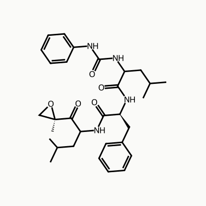 CC(C)CC(NC(=O)Nc1ccccc1)C(=O)N[C@@H](Cc1ccccc1)C(=O)NC(CC(C)C)C(=O)[C@@]1(C)CO1